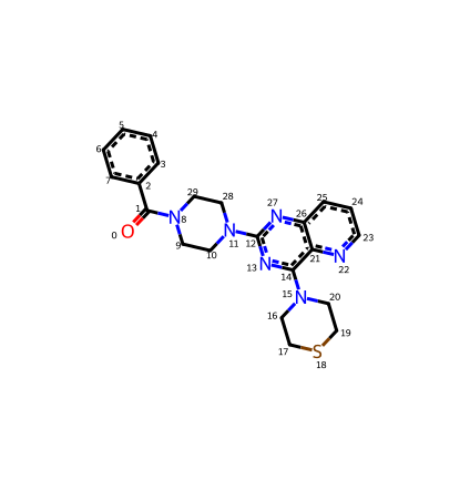 O=C(c1ccccc1)N1CCN(c2nc(N3CCSCC3)c3ncccc3n2)CC1